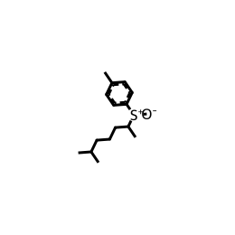 Cc1ccc([S+]([O-])C(C)CCCC(C)C)cc1